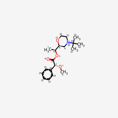 CO[C@@H](C(=O)O[C@@H](C)[C@@H]1CN(C(C)(C)C)CCO1)c1ccccc1